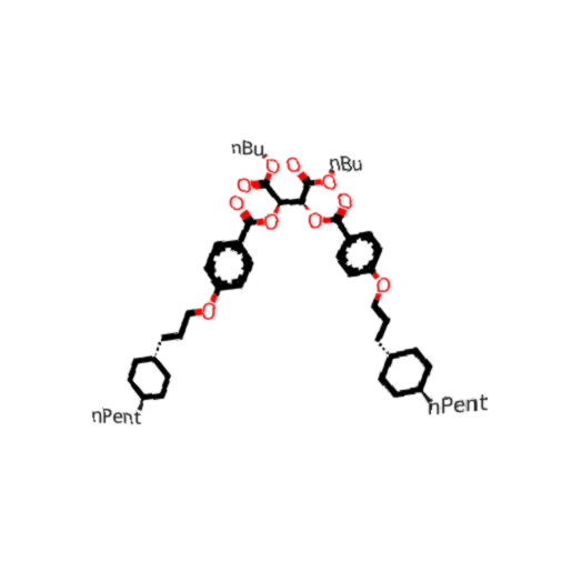 CCCCC[C@H]1CC[C@H](CCCOc2ccc(C(=O)O[C@@H](C(=O)OCCCC)[C@@H](OC(=O)c3ccc(OCCC[C@H]4CC[C@H](CCCCC)CC4)cc3)C(=O)OCCCC)cc2)CC1